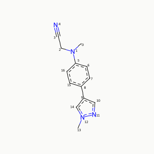 CN(CC#N)c1ccc(-c2cnn(C)c2)cc1